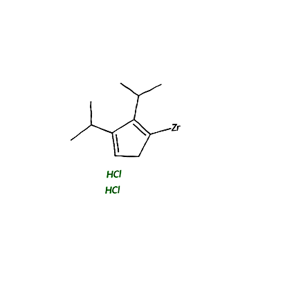 CC(C)C1=CC[C]([Zr])=C1C(C)C.Cl.Cl